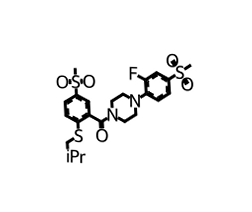 CC(C)CSc1ccc(S(C)(=O)=O)cc1C(=O)N1CCN(c2ccc(S(C)(=O)=O)cc2F)CC1